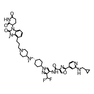 CN(C[C@H]1CC[C@H](n2cc(NC(=O)c3coc(-c4ccnc(NCC5CC5)c4)n3)c(C(F)F)n2)CC1)C1CCN(CCCc2cccc3c2n(C)c(=O)n3C2CCC(=O)NC2=O)CC1